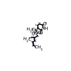 C=C/C(=C\C=C/C)CS(=O)(=O)N(C)C1CCC(=O)NC1=O